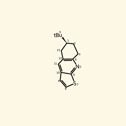 CC(C)(C)[C@H]1CCc2nc3sccc3cc2C1